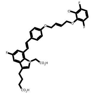 O=C(O)CCCc1cn(CC(=O)O)c2c(C=Cc3ccc(OCC=CCOc4c(F)ccc(F)c4Cl)cc3)cc(F)cc12